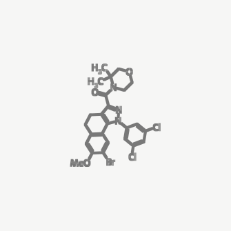 COc1cc2c(cc1Br)-c1c(c(C(=O)N3CCOCC3(C)C)nn1-c1cc(Cl)cc(Cl)c1)CC2